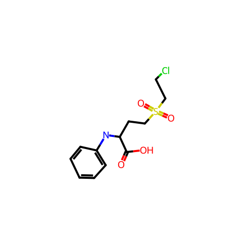 O=C(O)C(CCS(=O)(=O)CCCl)[N]c1ccccc1